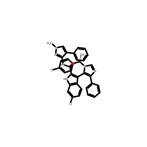 C[C@@H](c1ccc(Cl)cc1)n1cnc(-c2ccccc2)c1-c1c(C(=O)Nc2nn(C)cc2-c2ccccc2)[nH]c2cc(Cl)ccc12